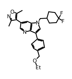 CCOCc1ccc(-c2cn(CC3CCC(F)(F)CC3)c3cc(-c4c(C)noc4C)cnc23)cc1